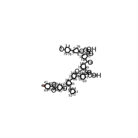 COc1ccc(-c2ccc(Oc3ccc(C(=O)c4ccc(COc5ccc(-c6ccc(Oc7ccc(S(=O)(=O)c8ccc(C)cc8)cc7)c(-c7ccccc7)c6)cc5-c5ccccc5)c(SOOO)c4)cc3S(=O)(=O)O)cc2)cc1